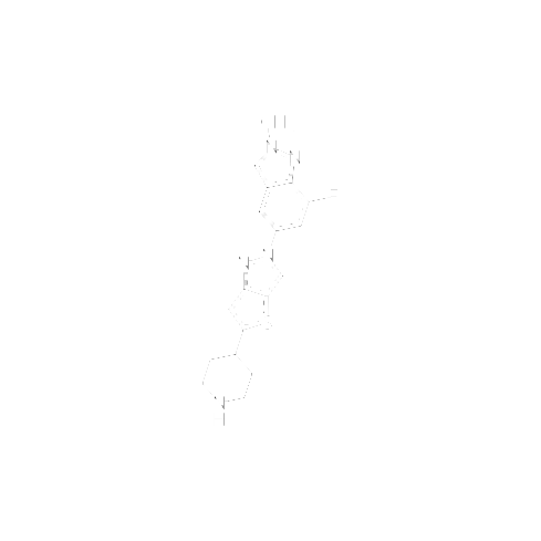 Cn1cc2cc(-n3cc4sc(C5CCNCC5)cc4n3)cc(F)c2n1